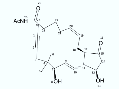 CC#CCC(C)(C)[C@H](O)/C=C/[C@H]1[C@H](O)CC(=O)[C@@H]1C/C=C\CCCC(=O)NC(C)=O